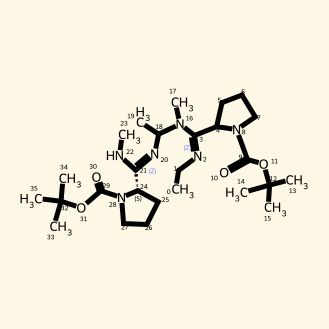 CC/N=C(/C1CCCN1C(=O)OC(C)(C)C)N(C)C(C)/N=C(\NC)[C@@H]1CCCN1C(=O)OC(C)(C)C